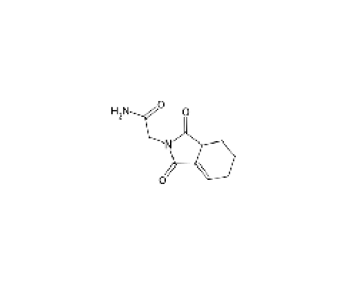 NC(=O)CN1C(=O)C2=CCCCC2C1=O